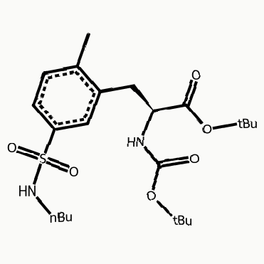 CCCCNS(=O)(=O)c1ccc(C)c(C[C@H](NC(=O)OC(C)(C)C)C(=O)OC(C)(C)C)c1